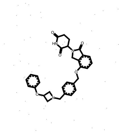 O=C1CCC(N2Cc3c(OCc4ccc(CN5CC(Oc6ccccc6)C5)cc4)cccc3C2=O)C(=O)N1